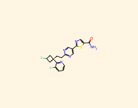 NC(=O)c1cnc(-c2cnc(CC[C@]3(c4ncccc4F)C[C@H](F)C3)nc2)s1